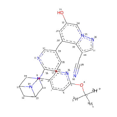 [2H]C([2H])([2H])Oc1ccc(CN2C3CC2CN(c2ccc(-c4cc(O)cn5ncc(C#N)c45)cn2)C3)cn1